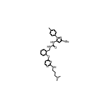 Cc1ccc(-n2nc(C(C)(C)C)cc2NC(=O)NCc2ccccc2Oc2ccnc(NCCCN(C)C)n2)cc1